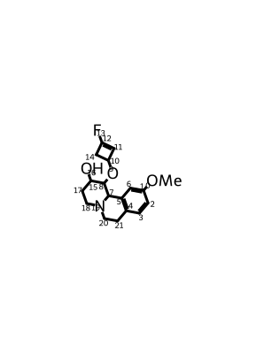 COc1ccc2c(c1)C1C(OC3C=C(F)C3)C(O)CCN1CC2